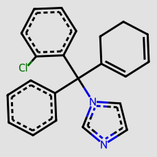 Clc1ccccc1C(C1=CC=CCC1)(c1ccccc1)n1ccnc1